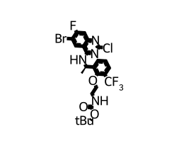 C[C@@H](Nc1nc(Cl)nc2cc(F)c(Br)cc12)c1cccc(C(F)(F)F)c1OCCNC(=O)OC(C)(C)C